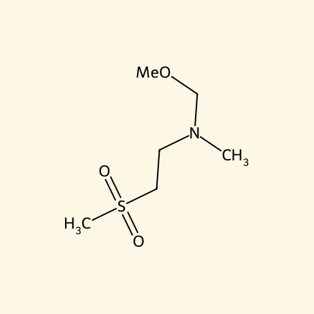 COCN(C)CCS(C)(=O)=O